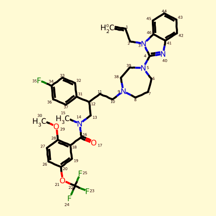 C=CCn1c(N2CCCN(CCC(CN(C)C(=O)c3cc(OC(F)(F)F)ccc3OC)c3ccc(F)cc3)CC2)nc2ccccc21